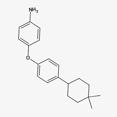 CC1(C)CCC(c2ccc(Oc3ccc(N)cc3)cc2)CC1